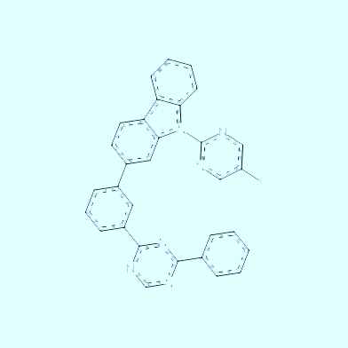 Ic1cnc(-n2c3ccccc3c3ccc(-c4cccc(-c5ncnc(-c6ccccc6)n5)c4)cc32)nc1